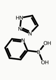 OB(O)c1ccccn1.c1c[nH]nn1